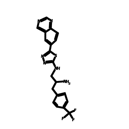 NC(CNc1nnc(-c2ccc3ncncc3c2)s1)Cc1ccc(C(F)(F)F)cc1